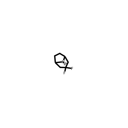 CC(C)N1C2CCC1CC(F)(F)C2